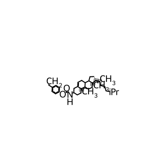 C=Cc1ccc(OC(=O)NC2CC[C@@]3(C)C(=CCC4C3CC[C@@]3(C)C4CC[C@@H]3[C@H](C)CCCC(C)C)C2)cc1